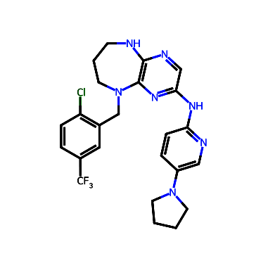 FC(F)(F)c1ccc(Cl)c(CN2CCCNc3ncc(Nc4ccc(N5CCCC5)cn4)nc32)c1